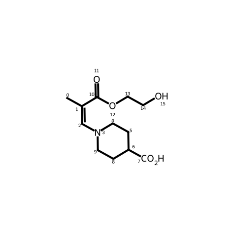 CC(=CN1CCC(C(=O)O)CC1)C(=O)OCCO